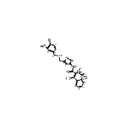 CN1C(C(=O)Nc2cc(CSCc3ccc(O)c(O)c3)on2)=C(O)c2ccccc2S1(=O)=O